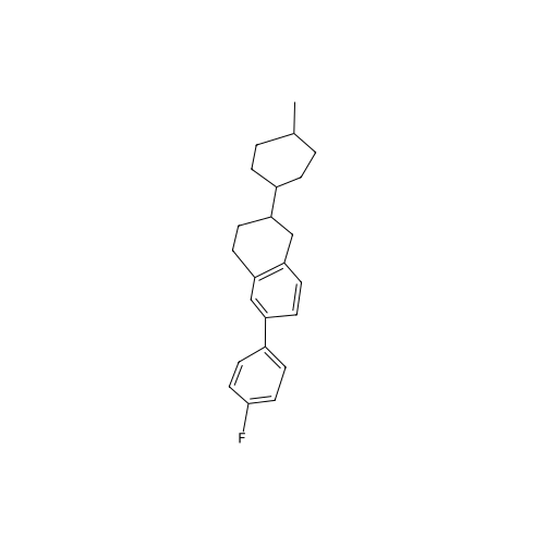 CC1CCC(C2CCc3cc(-c4ccc(F)cc4)ccc3C2)CC1